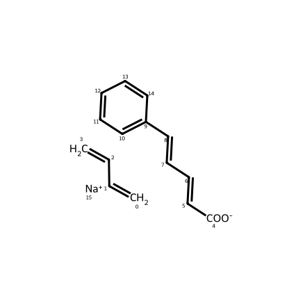 C=CC=C.O=C([O-])C=CC=Cc1ccccc1.[Na+]